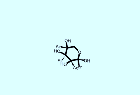 CC(=O)[C@@]1(O)[C@](O)(C(C)=O)[C@@](O)(C(C)=O)CO[C@]1(O)Br